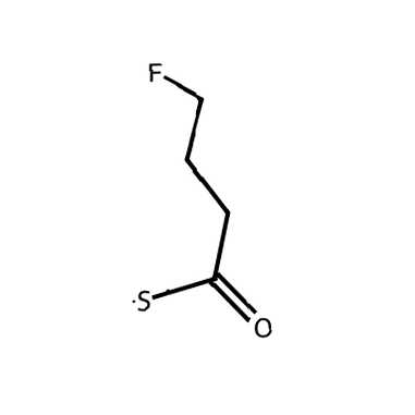 O=C([S])CCCF